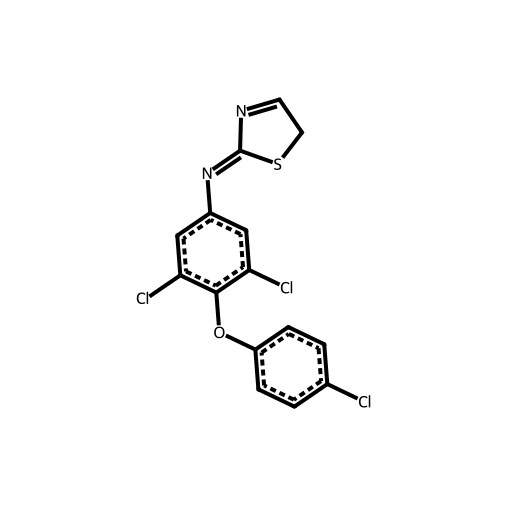 Clc1ccc(Oc2c(Cl)cc(N=C3N=CCS3)cc2Cl)cc1